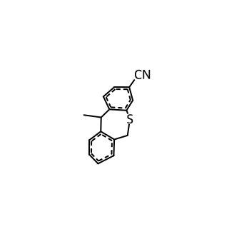 CC1c2ccccc2CSc2cc(C#N)ccc21